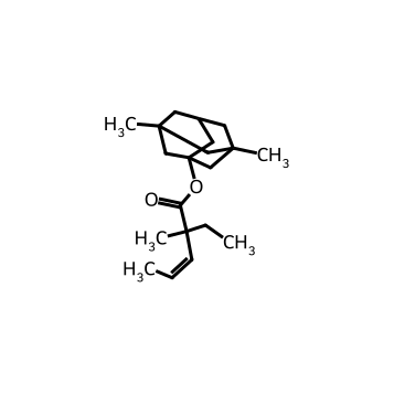 C/C=C\C(C)(CC)C(=O)OC12CC3CC(C)(CC(C)(C3)C1)C2